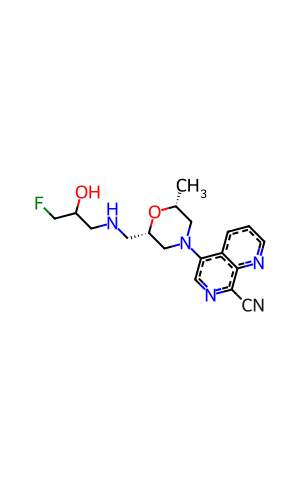 C[C@@H]1CN(c2cnc(C#N)c3ncccc23)C[C@H](CNCC(O)CF)O1